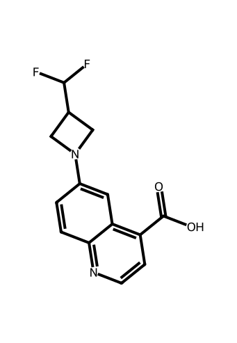 O=C(O)c1ccnc2ccc(N3CC(C(F)F)C3)cc12